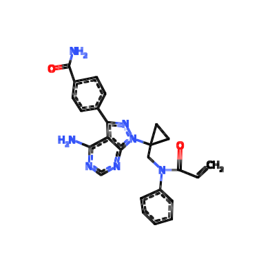 C=CC(=O)N(CC1(n2nc(-c3ccc(C(N)=O)cc3)c3c(N)ncnc32)CC1)c1ccccc1